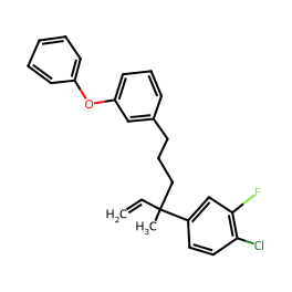 C=CC(C)(CCCc1cccc(Oc2ccccc2)c1)c1ccc(Cl)c(F)c1